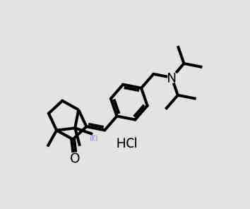 CC(C)N(Cc1ccc(/C=C2/C(=O)C3(C)CCC2C3(C)C)cc1)C(C)C.Cl